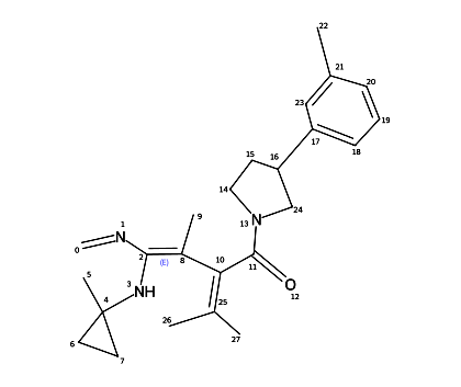 C=N/C(NC1(C)CC1)=C(\C)C(C(=O)N1CCC(c2cccc(C)c2)C1)=C(C)C